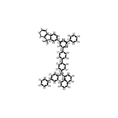 CC1(C)C2=C(C=CCC2)c2ccc(-c3cc(-c4ccc(-c5ccc(N(c6ccc(-c7ccccc7)cc6)c6cccc7ccccc67)cc5)cc4)nc(-c4ccccc4)n3)cc21